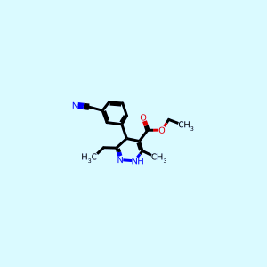 CCOC(=O)C1=C(C)NN=C(CC)C1c1cccc(C#N)c1